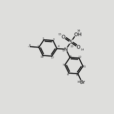 [CH2]c1ccc(N(c2ccc(Br)cc2)S(=O)(=O)O)cc1